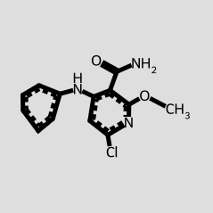 COc1nc(Cl)cc(Nc2ccccc2)c1C(N)=O